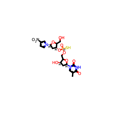 Cc1cn([C@H]2C[C@@H](O)C(CO[P@](=O)(S)O[C@@H]3C[C@H](n4ccc([N+](=O)[O-])c4)OC3CO)O2)c(=O)[nH]c1=O